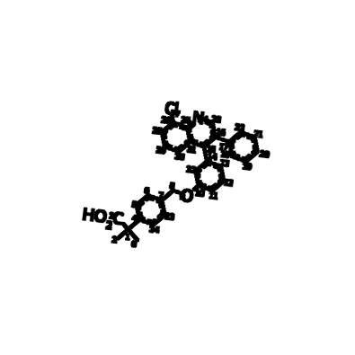 CC(C)(C(=O)O)c1ccc(COc2cccc(-c3c(-c4ccccc4)cnc4c(Cl)cccc34)c2)cc1